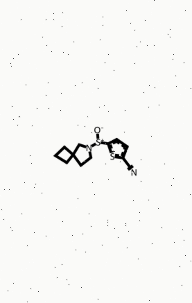 N#Cc1ccc([S+]([O-])N2CCC3(CCC3)C2)s1